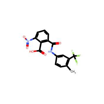 Cc1ccc(NC(=O)c2cccc([N+](=O)[O-])c2C(=O)O)cc1C(F)(F)F